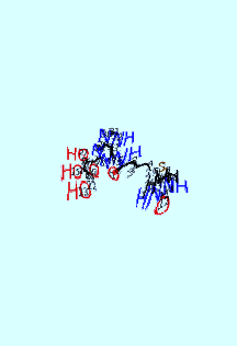 O=C(CCCC[C@@H]1SC[C@@H]2NC(=O)N[C@@H]21)Nc1nc(C2O[C@H](CO)[C@@H](O)[C@H]2O)nc2nc[nH]c12